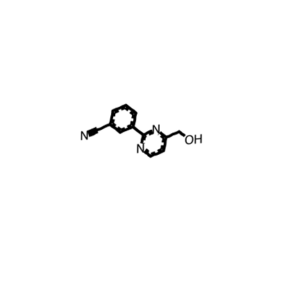 N#Cc1cccc(-c2nccc(CO)n2)c1